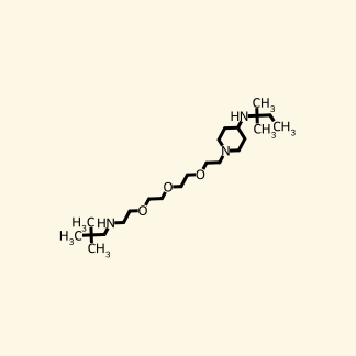 CCC(C)(C)NC1CCN(CCOCCOCCOCCNCC(C)(C)C)CC1